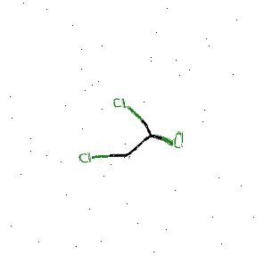 Cl[C]C(Cl)Cl